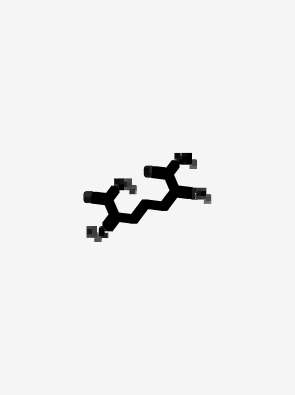 C=C(CCCC(=C)C(N)=O)C(N)=O